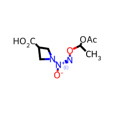 CC(=O)OC(C)O/N=[N+](/[O-])N1CC(C(=O)O)C1